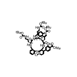 COC(=O)c1ccc(C2=CCN(Cl)C3=C2CNC(=O)[C@H](Cc2cn(C(=O)OC(C)(C)C)c4ccccc24)N(C)C(=O)[C@H](CCCCNC(=O)OC(C)(C)C)NC(=O)[C@H](CCCNC(=O)OC(C)(C)C)NCc2ccccc2S3)cc1O